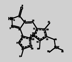 Cc1cc(C2=NNC(=O)/C2=C/c2[nH]c(C)c(CN(C)C)c2C)no1